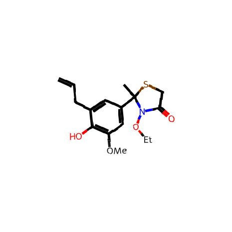 C=CCc1cc(C2(C)SCC(=O)N2OCC)cc(OC)c1O